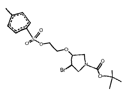 Cc1ccc(S(=O)(=O)OCCOC2CN(C(=O)OC(C)(C)C)CC2Br)cc1